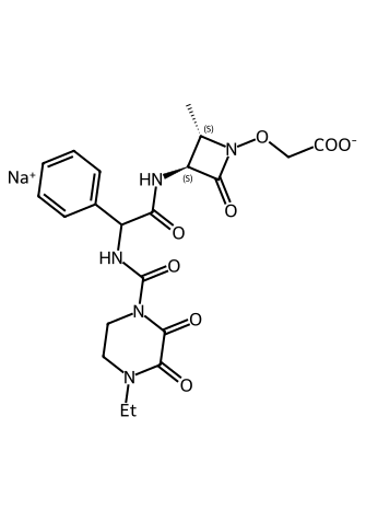 CCN1CCN(C(=O)NC(C(=O)N[C@@H]2C(=O)N(OCC(=O)[O-])[C@H]2C)c2ccccc2)C(=O)C1=O.[Na+]